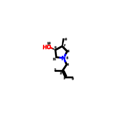 C/C=C(/C)CN1C[C@H](C)[C@@H](O)C1